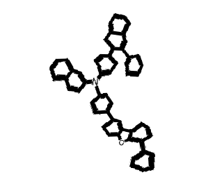 c1ccc(-c2cc3ccccc3cc2-c2ccc(N(c3ccc(-c4ccc5oc6c(-c7ccccc7)cccc6c5c4)cc3)c3ccc4ccccc4c3)cc2)cc1